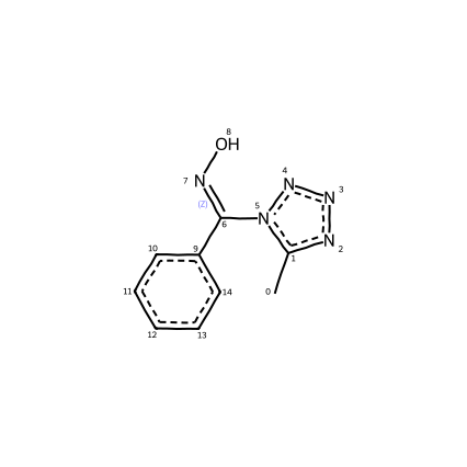 Cc1nnnn1/C(=N\O)c1ccccc1